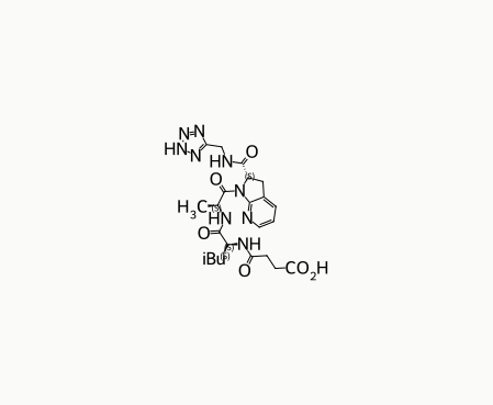 CC[C@H](C)[C@H](NC(=O)CCC(=O)O)C(=O)N[C@@H](C)C(=O)N1c2ncccc2C[C@H]1C(=O)NCc1nn[nH]n1